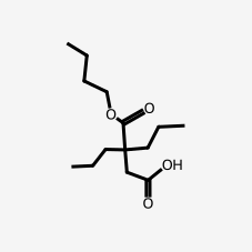 CCCCOC(=O)C(CCC)(CCC)CC(=O)O